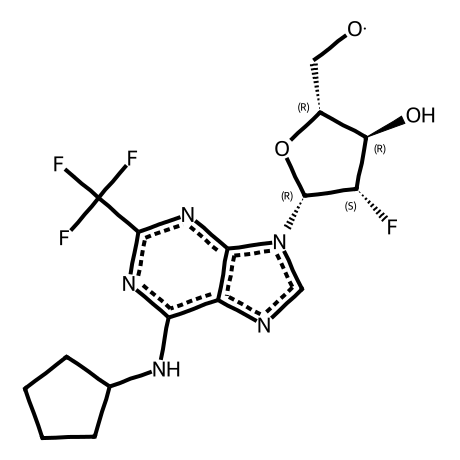 [O]C[C@H]1O[C@@H](n2cnc3c(NC4CCCC4)nc(C(F)(F)F)nc32)[C@@H](F)[C@@H]1O